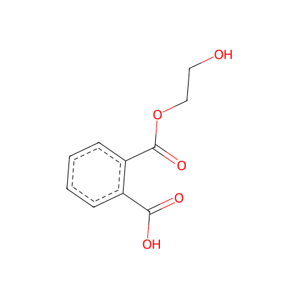 O=C(O)c1ccccc1C(=O)OCCO